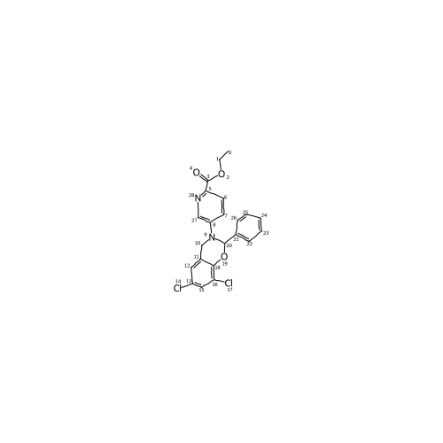 CCOC(=O)c1ccc(N2Cc3cc(Cl)cc(Cl)c3OC2c2ccccc2)cn1